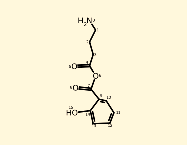 NCCCC(=O)OC(=O)c1ccccc1O